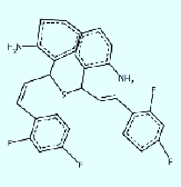 Nc1ccccc1C(C=Cc1ccc(F)cc1F)SC(/C=C\c1ccc(F)cc1F)c1ccccc1N